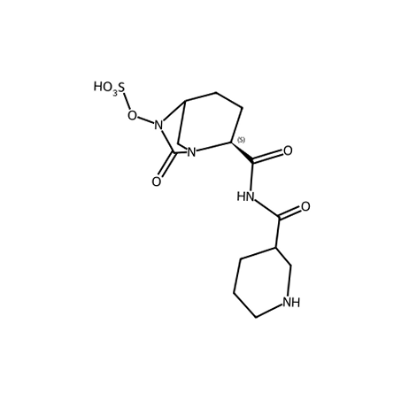 O=C(NC(=O)[C@@H]1CCC2CN1C(=O)N2OS(=O)(=O)O)C1CCCNC1